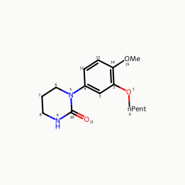 CCCCCOc1cc(N2CCCNC2=O)ccc1OC